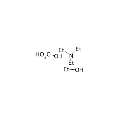 CCN(CC)CC.CCO.O=C(O)O